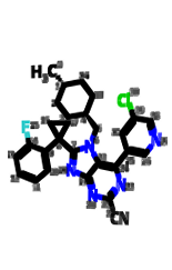 C[C@H]1CC[C@H](Cn2c(C3(c4ccccc4F)CC3)nc3nc(C#N)nc(-c4cncc(Cl)c4)c32)CC1